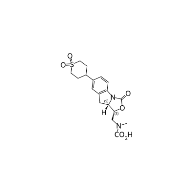 CN(C[C@@H]1OC(=O)N2c3ccc(C4CCS(=O)(=O)CC4)cc3C[C@@H]12)C(=O)O